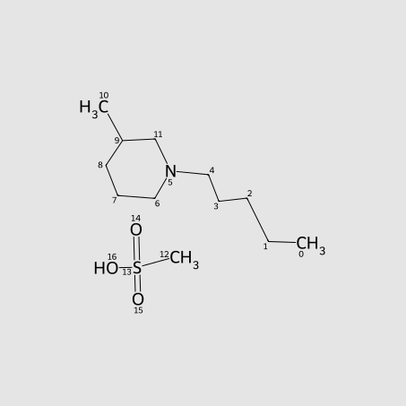 CCCCCN1CCCC(C)C1.CS(=O)(=O)O